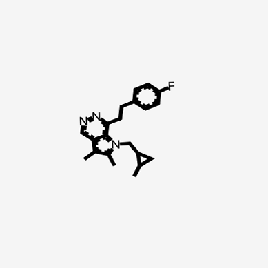 Cc1c(C)n(CC2CC2C)c2c(CCc3ccc(F)cc3)nncc12